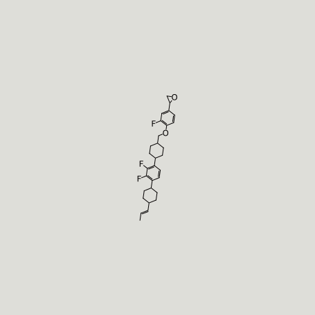 C/C=C/C1CCC(c2ccc(C3CCC(COc4ccc(C5CO5)cc4F)CC3)c(F)c2F)CC1